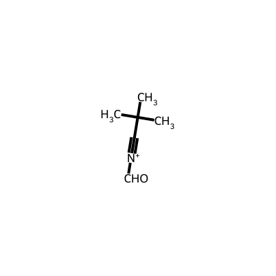 CC(C)(C)C#[N+]C=O